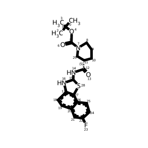 CC(C)(C)OC(=O)N1CCC[C@H](C(=O)NC2Nc3ccc4cc(F)ccc4c3S2)C1